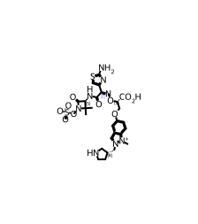 C[n+]1c2ccc(OC[C@H](O/N=C(\C(=O)N[C@@H]3C(=O)N(OS(=O)(=O)[O-])C3(C)C)c3csc(N)n3)C(=O)O)cc2cn1C[C@@H]1CCNC1